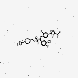 O=S(=O)(CCN1CCN(C2COC2)CC1)N(Cc1ccc(-c2nnc(C(F)F)o2)cc1F)c1ccc(F)c(Cl)c1